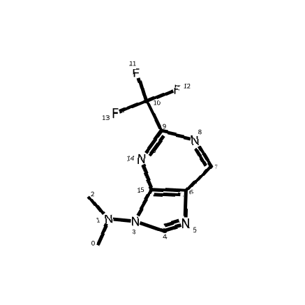 CN(C)n1cnc2cnc(C(F)(F)F)nc21